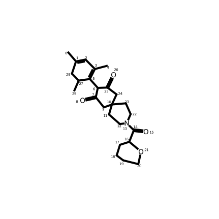 CC1=CC(C)=C(C2C(=O)CC3(CCN(C(=O)C4CCCCO4)CC3)CC2=O)C(C)C1